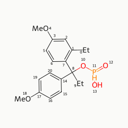 CCc1cc(OC)ccc1C(CC)(O[PH](=O)O)c1ccc(OC)cc1